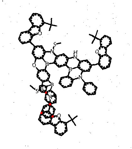 CSN1c2cc3c(cc2B2c4cc5c(cc4Oc4cc(-c6cccc7c6oc6c(C(C)(C)C)cccc67)cc1c42)N(SC)c1cc(-c2cccc4c2oc2c(C(C)(C)C)cccc24)cc2c1B5c1ccccc1N2c1ccccc1)B1c2ccccc2N(c2ccccc2)c2cc(-c4cccc5c4oc4c(C(C)(C)C)cccc45)cc(c21)N3